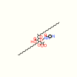 CCCCCCCCCCCCCCCCC(C)CC(C(=O)OCCNC(=O)c1ccc(N(C)C)cc1)C(C(=O)O)C(CCCCCCCCCCCCCCCC)CC1C(=O)OC(=O)C1C